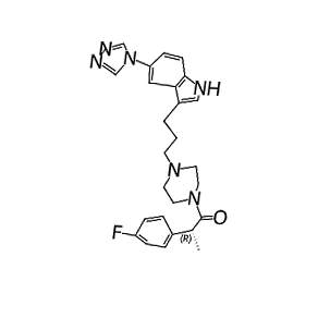 C[C@@H](C(=O)N1CCN(CCCc2c[nH]c3ccc(-n4cnnc4)cc23)CC1)c1ccc(F)cc1